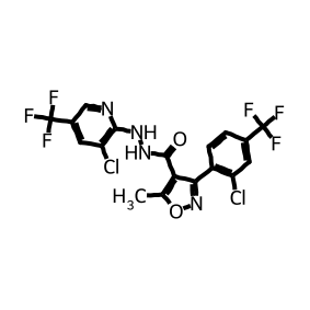 Cc1onc(-c2ccc(C(F)(F)F)cc2Cl)c1C(=O)NNc1ncc(C(F)(F)F)cc1Cl